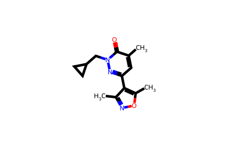 Cc1noc(C)c1-c1cc(C)c(=O)n(CC2CC2)n1